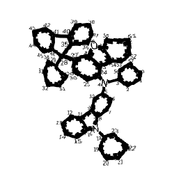 c1ccc(N(c2ccc3c(c2)c2ccccc2n3-c2ccccc2)c2ccc(C3(c4ccccc4)c4ccccc4-c4ccccc43)c3oc4ccccc4c23)cc1